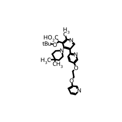 Cc1ncc(-c2ccc(OCCOc3cccnc3)cn2)c(N2CCC(C)(C)CC2)c1[C@H](OC(C)(C)C)C(=O)O